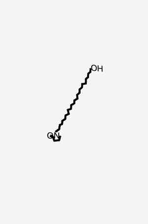 O=C1CCCN1CCCCCCCCCCCCCCCCCCCCCCCCCO